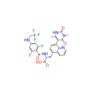 Cc1[nH]c(=O)n(C)c(=O)c1-c1ccc(C[C@H](NC(=O)c2c(F)cc(N[C@H](C)C(F)(F)F)cc2F)C(=O)O)c2cccnc12